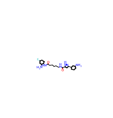 Nc1cccc(-c2cc(C(=O)NCCCCCC(=O)Nc3ccc(F)cc3N)[nH]n2)c1